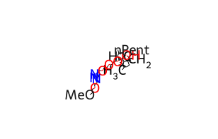 C=C(C)C1CCC(C)=CC1c1c(O)cc(CCCCC)cc1OCCOCCOCc1cn(CCOCCOC)nn1